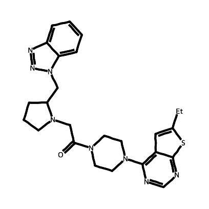 CCc1cc2c(N3CCN(C(=O)CN4CCCC4Cn4nnc5ccccc54)CC3)ncnc2s1